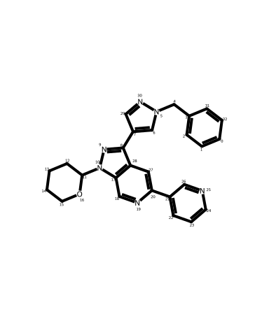 c1ccc(Cn2cc(-c3nn(C4CCCCO4)c4cnc(-c5cccnc5)cc34)cn2)cc1